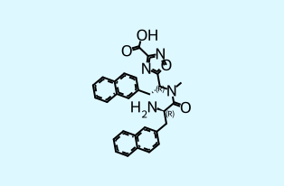 CN(C(=O)[C@H](N)Cc1ccc2ccccc2c1)[C@H](Cc1ccc2ccccc2c1)c1nc(C(=O)O)no1